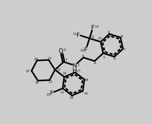 O=C(NCCc1ccccc1C(F)(F)F)C1(c2ccccc2F)CCCCC1